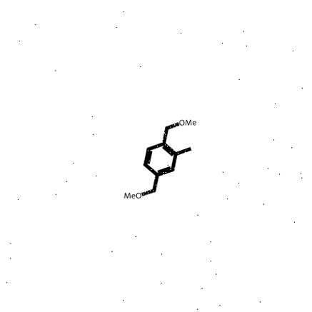 COCc1ccc(COC)c(C)c1